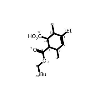 CCC1=CC(C)C(C(=O)OCC(C)CC)C(C(=O)O)C1C